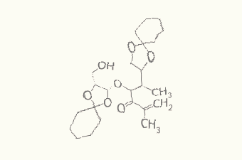 C=C(C)C(=O)C(O[C@@H]1OC2(CCCCC2)O[C@@H]1CO)C(C)C1COC2(CCCCC2)O1